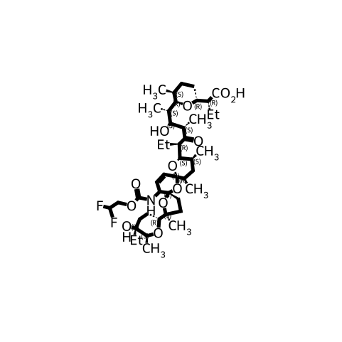 CC[C@@H](C(=O)[C@@H](C)[C@@H](O)[C@H](C)[C@@H]1O[C@@H]([C@@H](CC)C(=O)O)CC[C@@H]1C)[C@H]1O[C@]2(C=CC(NC(=O)OCC(F)F)[C@]3(CC[C@@](C)([C@H]4CC[C@](O)(CC)[C@H](C)O4)O3)O2)[C@H](C)C[C@@H]1C